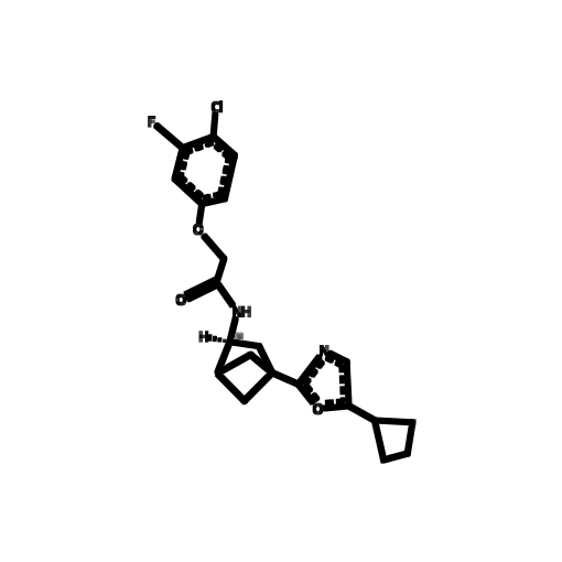 O=C(COc1ccc(Cl)c(F)c1)N[C@H]1CC2(c3ncc(C4CCC4)o3)CC1C2